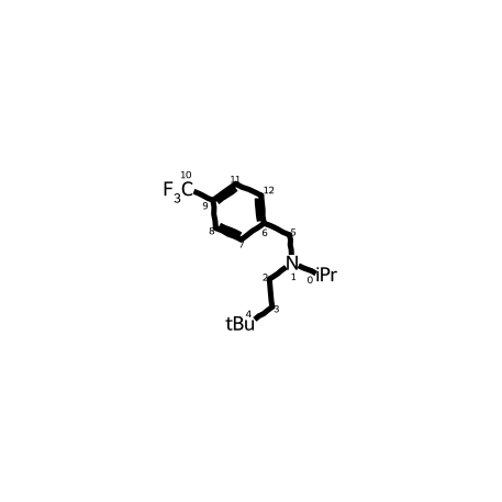 CC(C)N(CCC(C)(C)C)Cc1ccc(C(F)(F)F)cc1